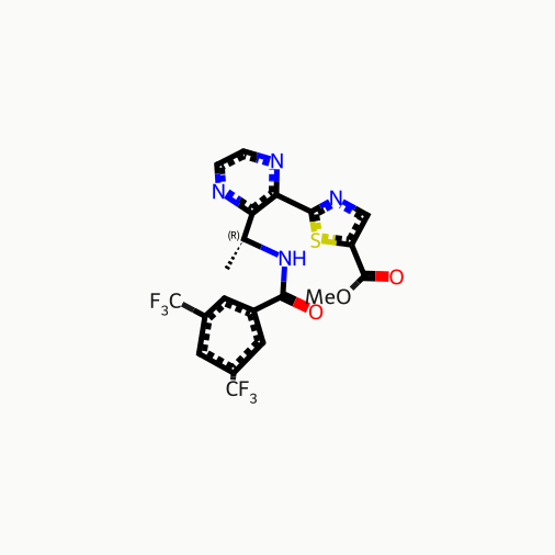 COC(=O)c1cnc(-c2nccnc2[C@@H](C)NC(=O)c2cc(C(F)(F)F)cc(C(F)(F)F)c2)s1